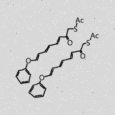 CC(=O)SCC(=O)C=CC=CC=COc1ccccc1.CC(=O)SCC(=O)C=CC=CC=COc1ccccc1